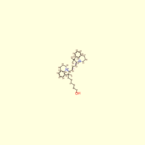 CC1(CCCCCCO)C(/C=C/C=C2/N3CCCc4cccc(c43)C2(C)C)=[N+]2CCCc3cccc1c32